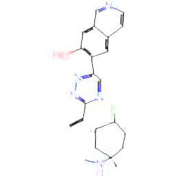 C=C(c1ncc(-c2cc3ccncc3cc2O)nn1)[C@H]1C[C@@](C)(NC)CCC1F